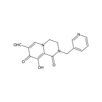 O=Cc1cn2c(c(O)c1=O)C(=O)N(Cc1cccnc1)CC2